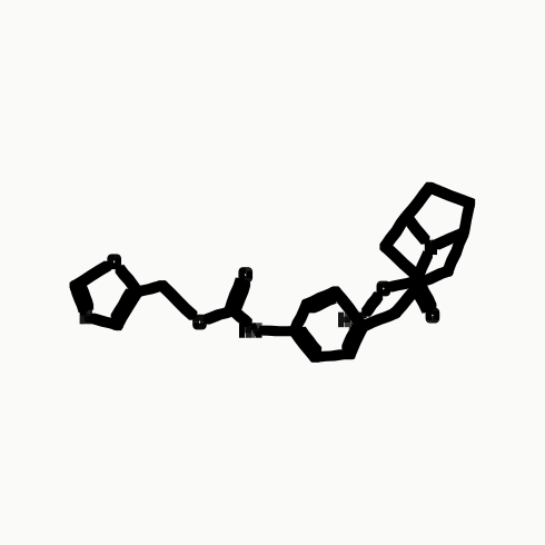 COC(=O)N1C2CCC1CC(Cc1ccc(NC(=O)OCc3cnco3)cc1)C2